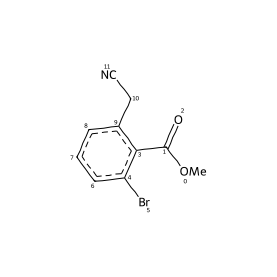 COC(=O)c1c(Br)cccc1CC#N